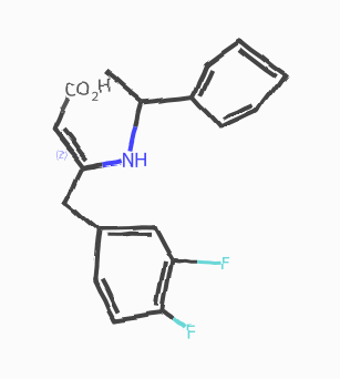 CC(N/C(=C\C(=O)O)Cc1ccc(F)c(F)c1)c1ccccc1